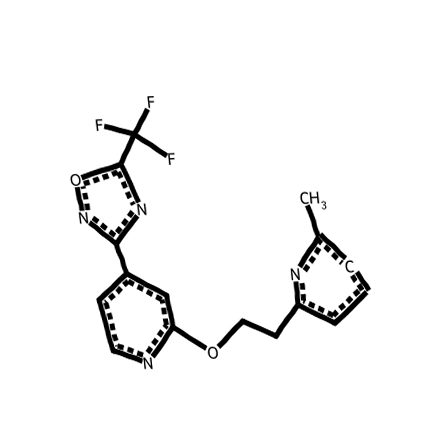 Cc1cccc(CCOc2cc(-c3noc(C(F)(F)F)n3)ccn2)n1